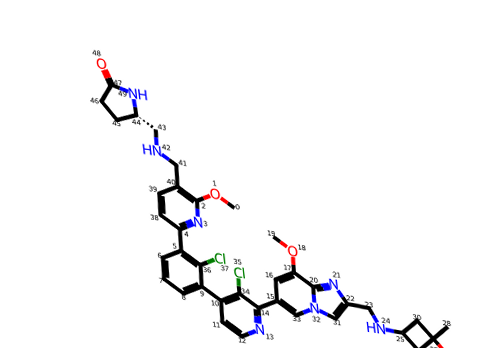 COc1nc(-c2cccc(-c3ccnc(-c4cc(OC)c5nc(CNC6CC(C)(O)C6)cn5c4)c3Cl)c2Cl)ccc1CNC[C@@H]1CCC(=O)N1